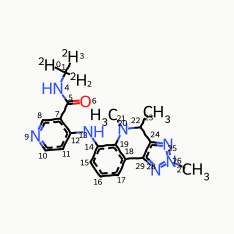 [2H]C([2H])([2H])NC(=O)c1cnccc1Nc1cccc2c1N(C)C(C)c1nn(C)nc1-2